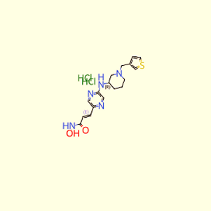 Cl.Cl.O=C(/C=C/c1cnc(N[C@@H]2CCCN(Cc3ccsc3)C2)cn1)NO